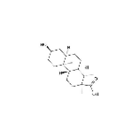 C[C@H]1[C@@H]2CC[C@@H]3C[C@H](O)CC[C@]3(C)[C@H]2CC[C@]1(C)C(=O)O